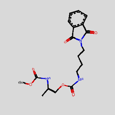 CC(COC(=O)NCCCCN1C(=O)c2ccccc2C1=O)NC(=O)OC(C)(C)C